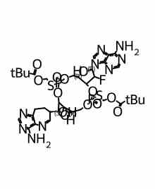 CC(C)(C)C(=O)OCSP1(=O)OC[C@H]2O[C@@H](n3cnc4c(N)ncnc43)C(F)C2OP(=O)(SCOC(=O)C(C)(C)C)OC[C@H]2O[C@@H](C3C=Nc4c(N)ncnc4CC3)C(O1)C2O